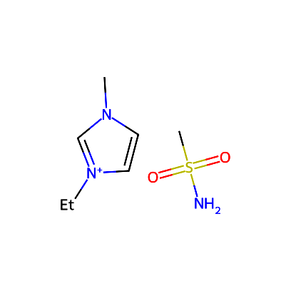 CC[n+]1ccn(C)c1.CS(N)(=O)=O